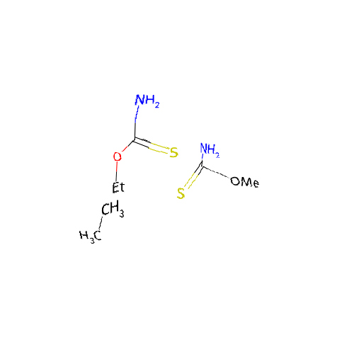 CC.CCOC(N)=S.COC(N)=S